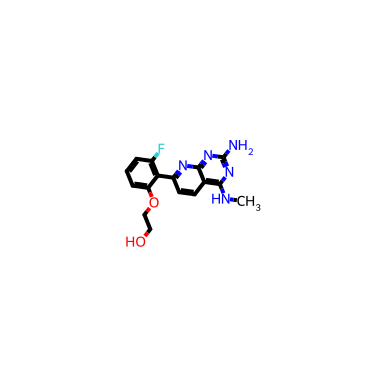 CNc1nc(N)nc2nc(-c3c(F)cccc3OCCO)ccc12